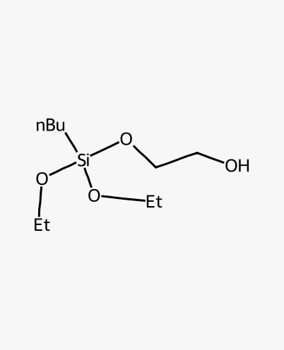 CCCC[Si](OCC)(OCC)OCCO